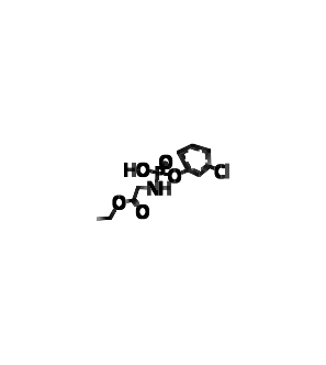 CCOC(=O)CNP(=O)(O)Oc1cccc(Cl)c1